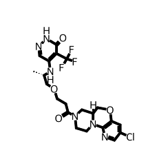 C[C@@H](COCCC(=O)N1CCN2c3ncc(Cl)cc3OC[C@H]2C1)Nc1cn[nH]c(=O)c1C(F)(F)F